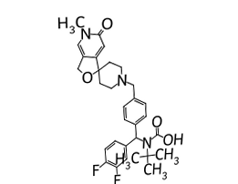 Cn1cc2c(cc1=O)C1(CCN(Cc3ccc(C(c4ccc(F)c(F)c4)N(C(=O)O)C(C)(C)C)cc3)CC1)OC2